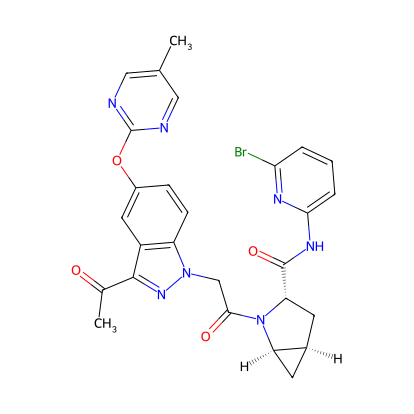 CC(=O)c1nn(CC(=O)N2[C@@H]3C[C@@H]3C[C@H]2C(=O)Nc2cccc(Br)n2)c2ccc(Oc3ncc(C)cn3)cc12